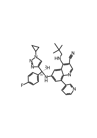 [2H][C@](Nc1cc(-c2cccnc2)c2ncc(C#N)c(NCC(C)(C)C)c2c1)(c1ccc(F)cc1)c1cn(C2CC2)nn1